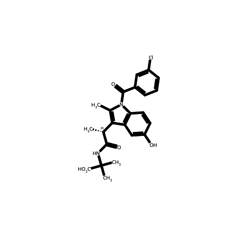 Cc1c([C@@H](C)C(=O)NC(C)(C)C(=O)O)c2cc(O)ccc2n1C(=O)c1cccc(Cl)c1